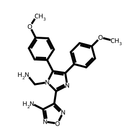 COc1ccc(-c2nc(-c3nonc3N)n(CN)c2-c2ccc(OC)cc2)cc1